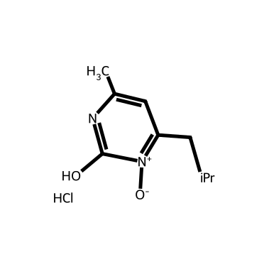 Cc1cc(CC(C)C)[n+]([O-])c(O)n1.Cl